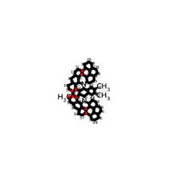 Cc1ccc2c(N(c3c4ccccc4cc4ccccc34)c3ccc4ccc5cccc6ccc3c4c56)c3cc(C)c(C)cc3c(N(c3c4ccccc4cc4ccccc34)c3ccc4ccc5cccc6ccc3c4c56)c2c1